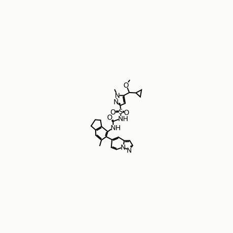 COC(c1cc(S(=O)(=O)NC(=O)Nc2c3c(cc(C)c2-c2ccn4nccc4c2)CCC3)nn1C)C1CC1